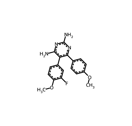 COc1ccc(-c2nc(N)nc(N)c2-c2ccc(OC)c(F)c2)cc1